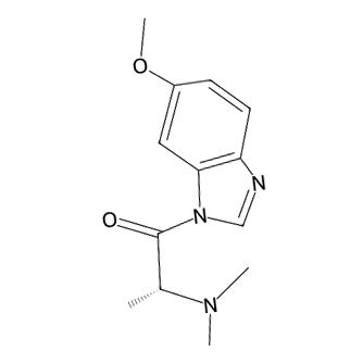 COc1ccc2ncn(C(=O)[C@@H](C)N(C)C)c2c1